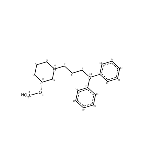 O=C(O)O[C@@H]1CCCN(CCCN(c2ccccc2)c2ccccc2)C1